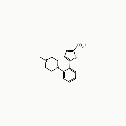 CN1CCN(c2ccccc2-c2ccc(C(=O)O)s2)CC1